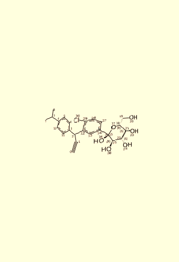 C#CC(c1ccc(C(C)C)cc1)c1cc([C@]2(O)O[C@H](CO)[C@@H](O)[C@H](O)[C@H]2O)ccc1Cl